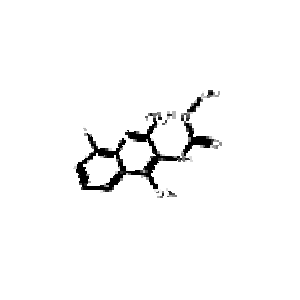 CC(C)COc1c(NC(=O)OC(C)(C)C)c(C(=O)O)nc2c(F)cccc12